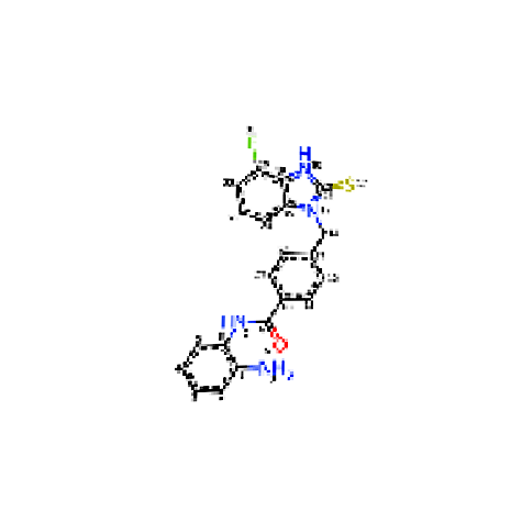 Nc1ccccc1NC(=O)c1ccc(Cn2c(=S)[nH]c3c(F)cccc32)cc1